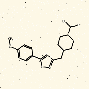 CCC(CC)N1CCC(Cc2noc(-c3ccc(OC(F)(F)F)cc3)n2)CC1